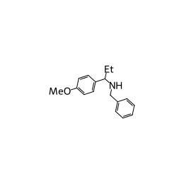 CCC(NCc1ccccc1)c1ccc(OC)cc1